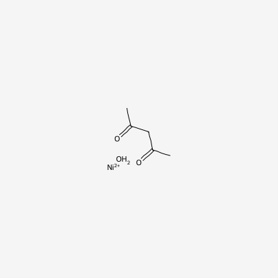 CC(=O)CC(C)=O.O.[Ni+2]